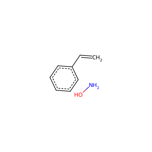 C=Cc1ccccc1.NO